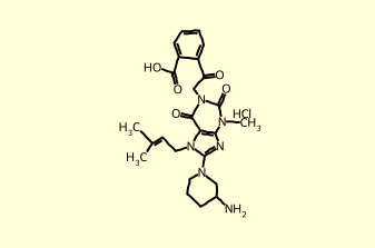 CC(C)=CCn1c(N2CCCC(N)C2)nc2c1c(=O)n(CC(=O)c1ccccc1C(=O)O)c(=O)n2C.Cl